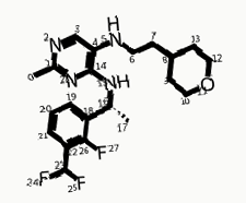 Cc1ncc(NCCC2CCOCC2)c(N[C@H](C)c2cccc(C(F)F)c2F)n1